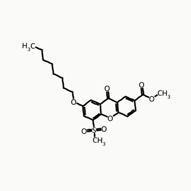 CCCCCCCCOc1cc(S(C)(=O)=O)c2oc3ccc(C(=O)OC)cc3c(=O)c2c1